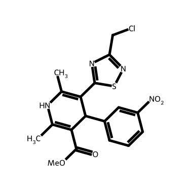 COC(=O)C1=C(C)NC(C)=C(c2nc(CCl)ns2)C1c1cccc([N+](=O)[O-])c1